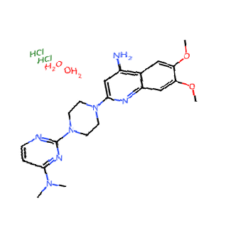 COc1cc2nc(N3CCN(c4nccc(N(C)C)n4)CC3)cc(N)c2cc1OC.Cl.Cl.O.O